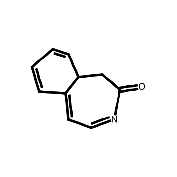 O=C1CC2C=CC=CC2=CC=N1